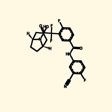 N#Cc1cc(NC(=O)c2ccc(F)c(C(F)(F)C(=O)N3[C@@H]4CC[C@H]3CC(O)C4)c2)ccc1F